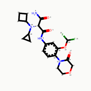 NC(=O)[C@H](C(=O)Nc1ccc(N2CCOCC2=O)c(OC(F)F)c1)N(C1CCC1)C1CC1